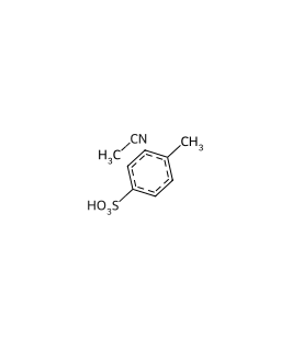 CC#N.Cc1ccc(S(=O)(=O)O)cc1